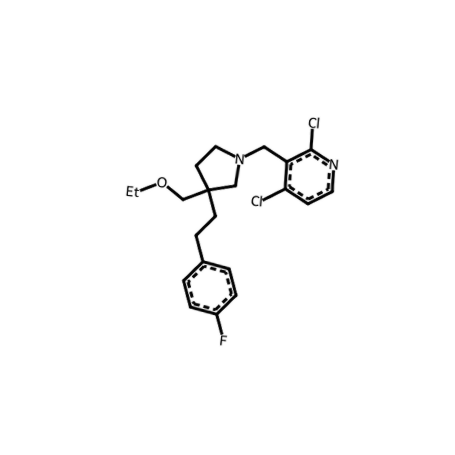 CCOCC1(CCc2ccc(F)cc2)CCN(Cc2c(Cl)ccnc2Cl)C1